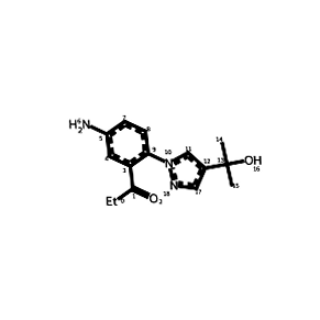 CCC(=O)c1cc(N)ccc1-n1cc(C(C)(C)O)cn1